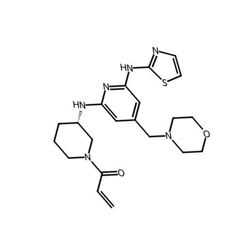 C=CC(=O)N1CCC[C@H](Nc2cc(CN3CCOCC3)cc(Nc3nccs3)n2)C1